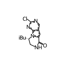 CCC(C)[C@H]1CNC(=O)c2cc3cnc(Cl)nc3n21